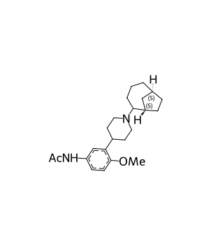 COc1ccc(NC(C)=O)cc1C1CCN(C2CCC[C@H]3CC[C@H]2C3)CC1